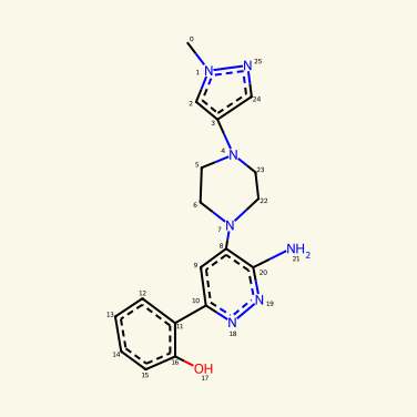 Cn1cc(N2CCN(c3cc(-c4ccccc4O)nnc3N)CC2)cn1